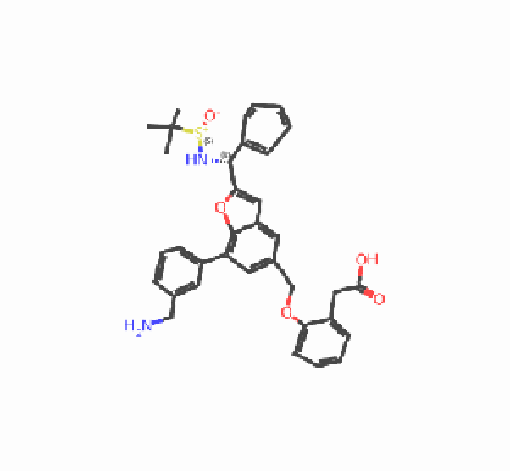 CC(C)(C)[S@@+]([O-])N[C@H](c1ccccc1)c1cc2cc(COc3ccccc3CC(=O)O)cc(-c3cccc(CN)c3)c2o1